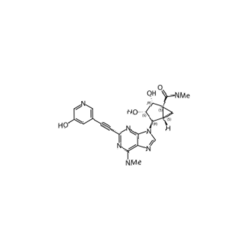 CNC(=O)[C@@]12C[C@@H]1[C@@H](n1cnc3c(NC)nc(C#Cc4cncc(O)c4)nc31)[C@H](O)[C@@H]2O